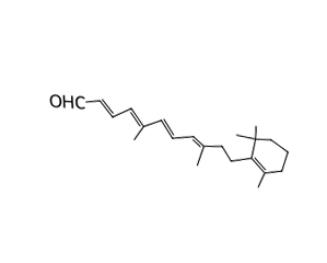 CC1=C(CC/C(C)=C/C=C/C(C)=C/C=C/C=O)C(C)(C)CCC1